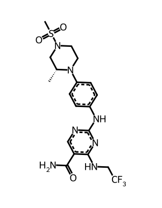 C[C@@H]1CN(S(C)(=O)=O)CCN1c1ccc(Nc2ncc(C(N)=O)c(NCC(F)(F)F)n2)cc1